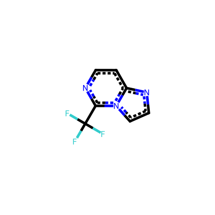 FC(F)(F)c1nccc2nccn12